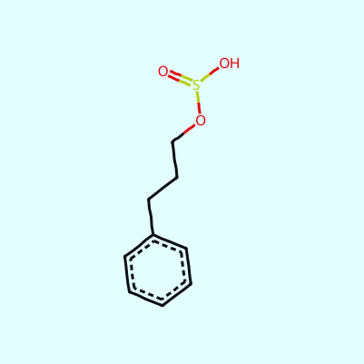 O=S(O)OCCCc1ccccc1